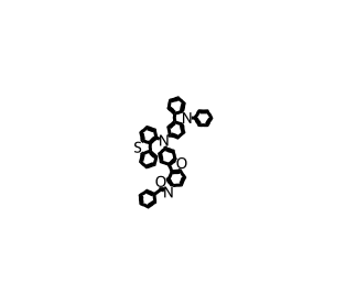 c1ccc(-c2nc3ccc4oc5cc(N(c6ccc7c(c6)c6ccccc6n7-c6ccccc6)c6cccc7sc8ccccc8c67)ccc5c4c3o2)cc1